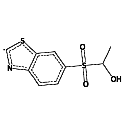 CC(O)S(=O)(=O)c1ccc2n[c]sc2c1